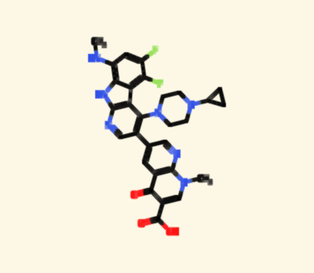 CNc1cc(F)c(F)c2c1[nH]c1ncc(-c3cnc4c(c3)c(=O)c(C(=O)O)cn4C)c(N3CCN(C4CC4)CC3)c12